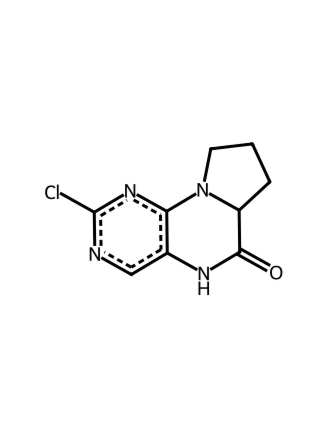 O=C1Nc2cnc(Cl)nc2N2CCCC12